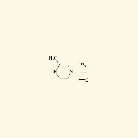 CC1CN(C2(C)COC2)CCN1